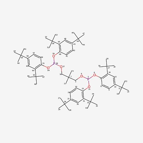 CC(C)(COP(Oc1ccc(C(C)(C)C)cc1C(C)(C)C)Oc1ccc(C(C)(C)C)cc1C(C)(C)C)COP(Oc1ccc(C(C)(C)C)cc1C(C)(C)C)Oc1ccc(C(C)(C)C)cc1C(C)(C)C